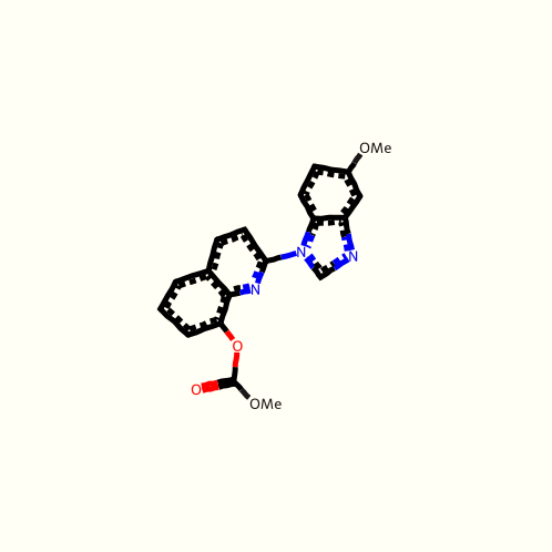 COC(=O)Oc1cccc2ccc(-n3cnc4cc(OC)ccc43)nc12